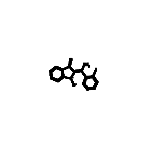 NC(=C1C(=O)c2ccccc2[S+]1[O-])c1ccccc1I